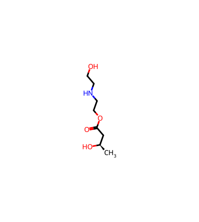 C[C@@H](O)CC(=O)OCCNCCO